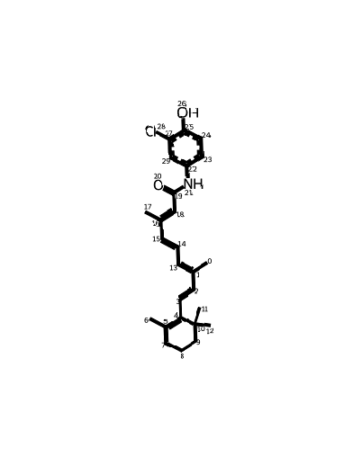 CC(C=CC1=C(C)CCCC1(C)C)=CC=CC(C)=CC(=O)Nc1ccc(O)c(Cl)c1